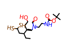 CCC(CC(S)S)C(=CN(C=O)CCNC(=O)OC(C)(C)C)CCO